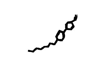 CCCCCCCCC1C=CC(c2ccc(C#N)cc2)=CC1